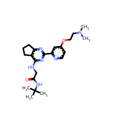 CN(C)CCOc1ccnc(-c2nc3c(c(NCC(=O)NC(C)(C)C)n2)CCC3)c1